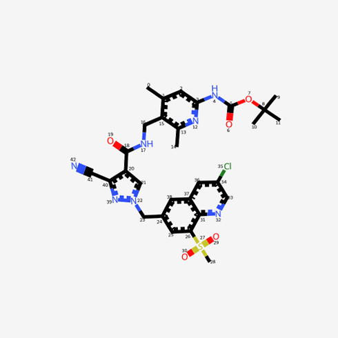 Cc1cc(NC(=O)OC(C)(C)C)nc(C)c1CNC(=O)c1cn(Cc2cc(S(C)(=O)=O)c3ncc(Cl)cc3c2)nc1C#N